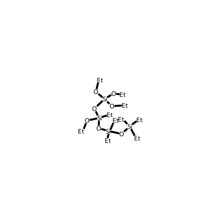 CCO[Si](CC)(O[Si](CC)(CC)O[Si](CC)(CC)CC)O[Si](OCC)(OCC)OCC